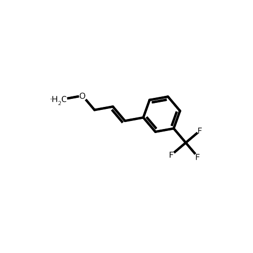 [CH2]OCC=Cc1cccc(C(F)(F)F)c1